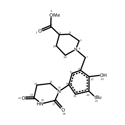 COC(=O)C1CCN(Cc2cc(N3CCC(=O)NC3=O)cc(C(C)(C)C)c2O)CC1